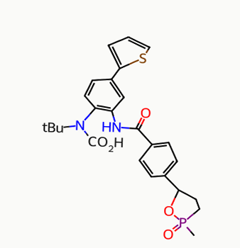 CC(C)(C)N(C(=O)O)c1ccc(-c2cccs2)cc1NC(=O)c1ccc(C2CCP(C)(=O)O2)cc1